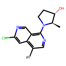 CC(C)c1cnc(N2CC[C@H](O)[C@H]2C)c2cnc(Cl)cc12